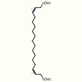 CCCCCCCCCCC/C=C\CCCCC[C]CCCCC/C=C\CCCCCCCCCCC